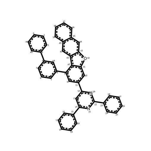 c1ccc(-c2cccc(-c3cc(-c4cc(-c5ccccc5)nc(-c5ccccc5)n4)cc4oc5cc6ccccc6cc5c34)c2)cc1